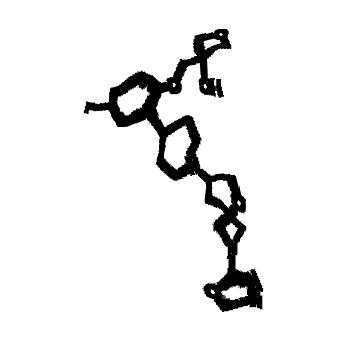 OC1(COc2ccc(F)cc2C2CCN(C3COC4(C3)CN(c3nnco3)C4)CC2)COC1